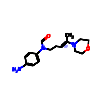 C/C(=C\CCN(C=O)c1ccc(N)cc1)N1CCOCC1